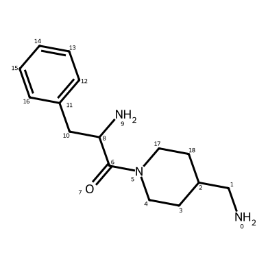 NCC1CCN(C(=O)C(N)Cc2ccccc2)CC1